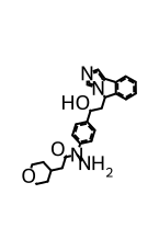 NN(C(=O)CC1CCOCC1)c1ccc(C(O)CC2c3ccccc3-c3cncn32)cc1